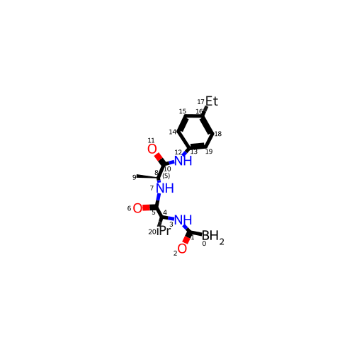 BC(=O)NC(C(=O)N[C@@H](C)C(=O)Nc1ccc(CC)cc1)C(C)C